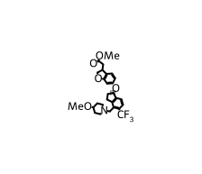 COC(=O)CC1COc2cc(O[C@@H]3CCc4c3ccc(C(F)(F)F)c4CN3CCC(OC)CC3)ccc21